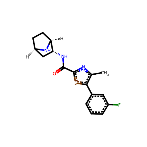 Cc1nc(C(=O)N[C@@H]2C[C@H]3CC[C@@H]2N3)sc1-c1cccc(F)c1